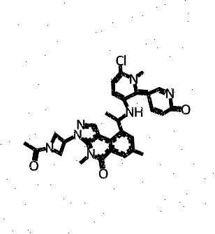 CC(=O)N1CC(n2ncc3c4c(C(C)NC5=CC=C(Cl)N(C)C5=C5C=CC(=O)N=C5)cc(C)cc4c(=O)n(C)c32)C1